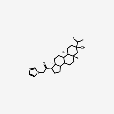 C[C@]12CCC3C(CC[C@H]4C[C@@](O)(C(F)F)CC[C@H]34)C1CC[C@@H]2C(=O)Cn1ccnc1